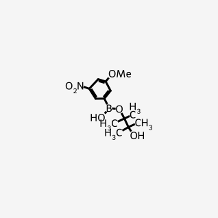 COc1cc(B(O)OC(C)(C)C(C)(C)O)cc([N+](=O)[O-])c1